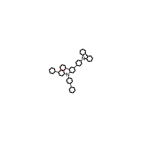 c1ccc(-c2ccc(N(c3ccc(-c4ccccc4)cc3)c3ccc(-c4ccc(-n5c6ccccc6c6ccccc65)cc4)cc3-c3ccccc3)cc2)cc1